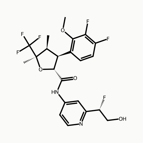 COc1c([C@H]2[C@H](C(=O)Nc3ccnc([C@H](F)CO)c3)O[C@@](C)(C(F)(F)F)[C@H]2C)ccc(F)c1F